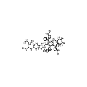 CCCCCCCCC1(CCCCCCCC)COOc2c(c(C(=O)OCC)n(Cc3ccccc3)c2C(=O)OCC)C1